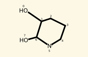 OC1CCC[N]C1O